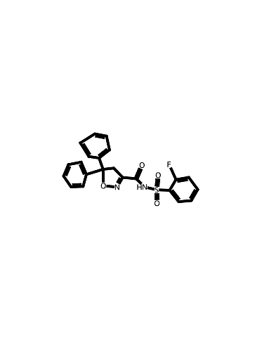 O=C(NS(=O)(=O)c1ccccc1F)C1=NOC(c2ccccc2)(c2ccccc2)C1